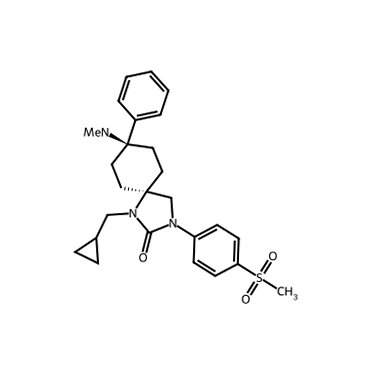 CN[C@]1(c2ccccc2)CC[C@]2(CC1)CN(c1ccc(S(C)(=O)=O)cc1)C(=O)N2CC1CC1